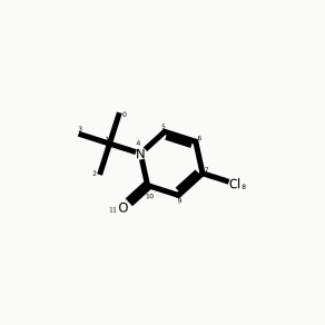 CC(C)(C)n1ccc(Cl)cc1=O